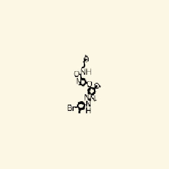 COCCCNC(=O)c1cc(Oc2cc3nc(Nc4ccc(Br)c(C)c4)n(C)c3cc2OC)ccn1